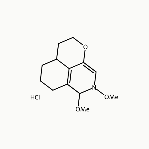 COC1C2=C3C(=CN1OC)OCCC3CCC2.Cl